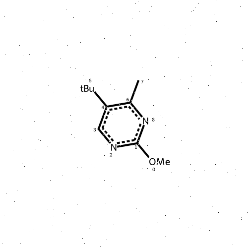 COc1ncc(C(C)(C)C)c(C)n1